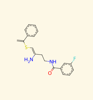 C=C(S/C=C(\N)CCNC(=O)c1cccc(F)c1)c1ccccc1